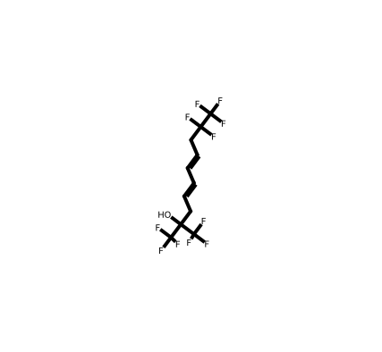 OC(CC=CC=CCC(F)(F)C(F)(F)F)(C(F)(F)F)C(F)(F)F